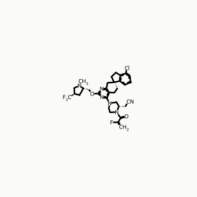 C=C(F)C(=O)N1CCN(c2nc(OC[C@@H]3C[C@@H](C(F)(F)F)CN3C)nc3c2CC[C@@]2(CCc4c(Cl)cccc42)C3)C[C@@H]1CC#N